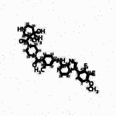 COc1ccc(-c2cnc3c(Nc4ccc(C(=O)N5CCN(C(=O)[C@]6(C)CNCCC6(O)O)CC5)c(C)c4)nccn23)c(F)c1F